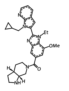 CCn1c(-c2cc3cccnc3n2CC2CC2)nc2cc(C(=O)N3CC[C@H]4CCN[C@H]4C3)cc(OC)c21